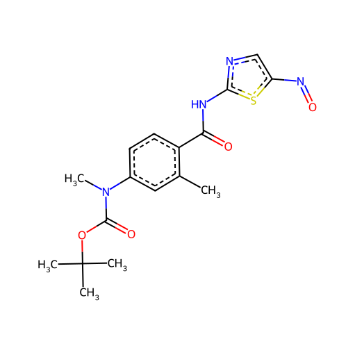 Cc1cc(N(C)C(=O)OC(C)(C)C)ccc1C(=O)Nc1ncc(N=O)s1